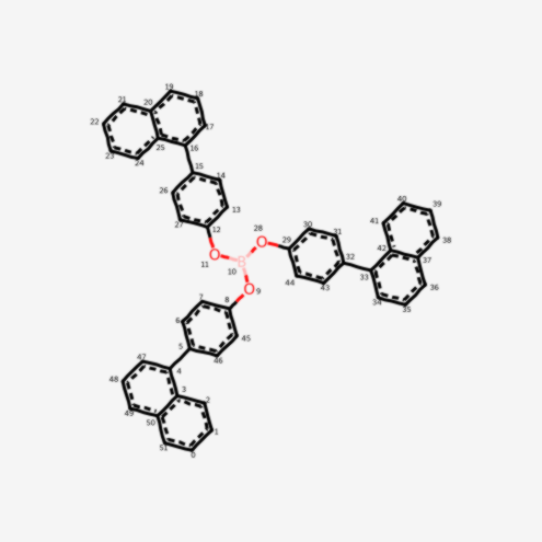 c1ccc2c(-c3ccc(OB(Oc4ccc(-c5cccc6ccccc56)cc4)Oc4ccc(-c5cccc6ccccc56)cc4)cc3)cccc2c1